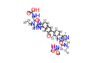 CCCN(Cc1ncc(-c2ccc3c(c2)COc2cc4c(ccc5nc(CN(CCC)C(=O)CNC(=O)O)[nH]c54)cc2-3)[nH]1)C(=O)CNC(=O)O